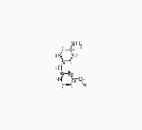 COc1ccnc(Oc2ccc(N)cc2)n1